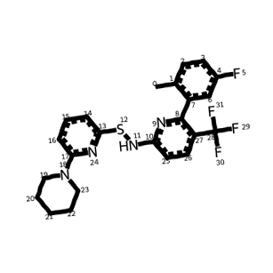 Cc1ccc(F)cc1-c1nc(NSc2cccc(N3CCCCC3)n2)ccc1C(F)(F)F